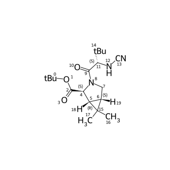 CC(C)(C)OC(=O)[C@@H]1[C@@H]2[C@H](CN1C(=O)[C@@H](NC#N)C(C)(C)C)C2(C)C